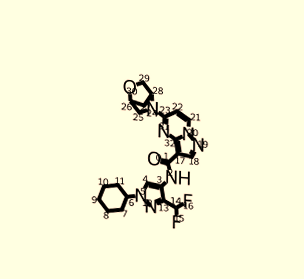 O=C(Nc1cn(C2CCCCC2)nc1C(F)F)c1cnn2ccc(N3CC4CC3CO4)nc12